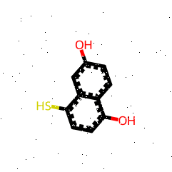 Oc1ccc2c(O)ccc(S)c2c1